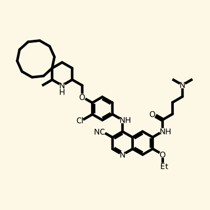 CCOc1cc2ncc(C#N)c(Nc3ccc(OCC4CCC5(CCCCCCCCC5)C(C)N4)c(Cl)c3)c2cc1NC(=O)CCCN(C)C